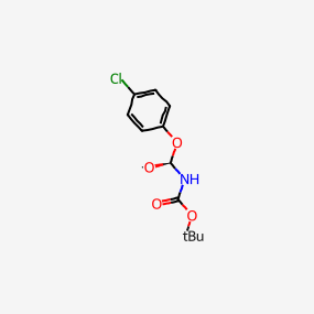 CC(C)(C)OC(=O)N[C@@H]([O])Oc1ccc(Cl)cc1